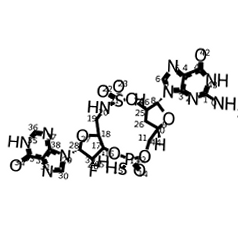 Nc1nc2c(ncn2[C@@H]2O[C@@H]3COP(=O)(S)O[C@@H]4C(CNS(=O)(=O)O[C@@H]2C3)O[C@@H](n2cnc3c(=O)[nH]cnc32)[C@@H]4F)c(=O)[nH]1